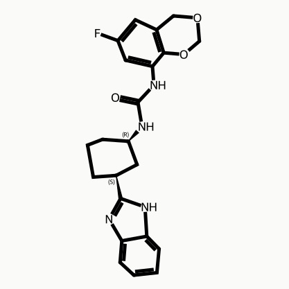 O=C(Nc1cc(F)cc2c1OCOC2)N[C@@H]1CCC[C@H](c2nc3ccccc3[nH]2)C1